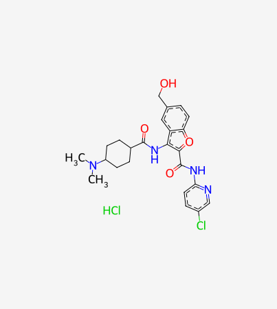 CN(C)C1CCC(C(=O)Nc2c(C(=O)Nc3ccc(Cl)cn3)oc3ccc(CO)cc23)CC1.Cl